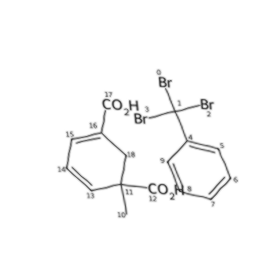 BrC(Br)(Br)c1ccccc1.CC1(C(=O)O)C=CC=C(C(=O)O)C1